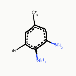 CC(C)c1cc(C(F)(F)F)cc(N)c1N